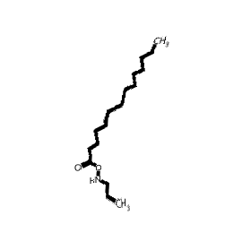 CCCCCCCCCCCCCC(=O)ONCCC